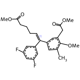 COC(=O)CCC/C=C(\c1cc(F)cc(F)c1)c1cc(C)c(OC)c(CC(=O)OC)c1